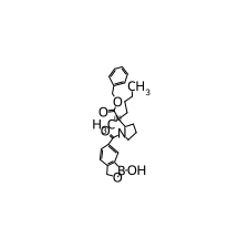 CCCC[C@@](C)(C(=O)OCc1ccccc1)C1CCCN1C(=O)c1ccc2c(c1)B(O)OC2